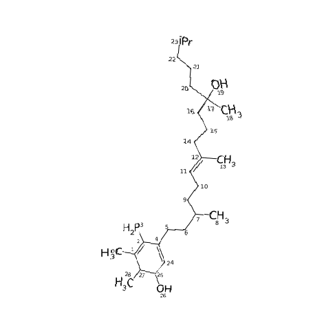 CC1=C(P)C(CCC(C)CC/C=C(\C)CCCC(C)(O)CCCC(C)C)=CC(O)C1C